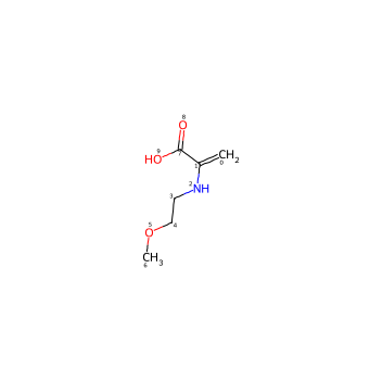 C=C(NCCOC)C(=O)O